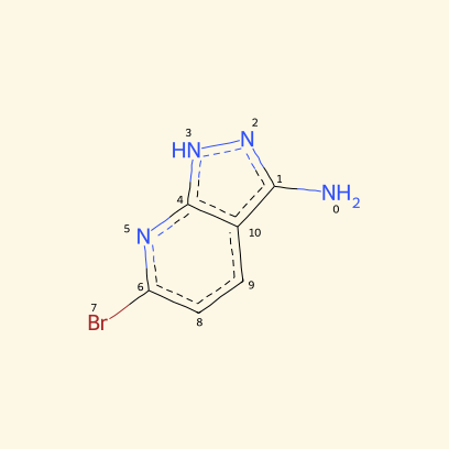 Nc1n[nH]c2nc(Br)ccc12